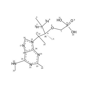 [2H]C([2H])(C)[C@@](C)(OCP(=O)(O)O)C(C)(C)n1cnc2c(NC)nc(C)nc21